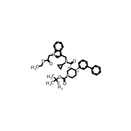 CCOC(=O)Cn1cc(CN(C(=O)[C@H]2CN(C(=O)OC(C)(C)C)CC[C@@H]2c2cccc(-c3ccccc3)c2)C2CC2)c2ccccc21